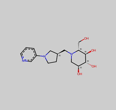 OC[C@@H]1[C@@H](O)[C@H](O)[C@@H](O)CN1C[C@H]1CCN(c2cccnc2)C1